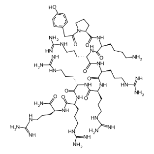 N=C(N)NCCC[C@H](NC(=O)[C@H](CCCNC(=N)N)NC(=O)[C@H](CCCNC(=N)N)NC(=O)[C@H](CCCNC(=N)N)NC(=O)[C@H](CCCNC(=N)N)NC(=O)[C@H](CCCNC(=N)N)NC(=O)[C@H](CCCCN)NC(=O)[C@@H]1CCCN1C(=O)Cc1ccc(O)cc1)C(N)=O